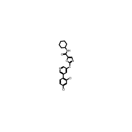 O=C(NC1CCCCC1)c1cnc(Sc2cncc(-c3ccc(Cl)cc3Cl)c2)o1